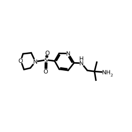 CC(C)(N)CNc1ccc(S(=O)(=O)N2CCOCC2)cn1